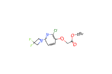 CC(C)(C)OC(=O)COc1ccc(N2CC(F)(F)C2)nc1Cl